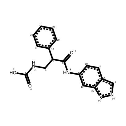 O=C(O)NCC(C(=O)Nc1ccc2cnsc2c1)c1ccccc1